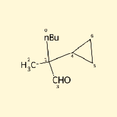 CCCCC(C)(C=O)C1CC1